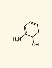 NC1=CC=CCC1O